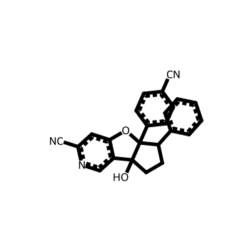 N#Cc1ccc(C23Oc4cc(C#N)ncc4C2(O)CCC3c2ccccc2)cc1